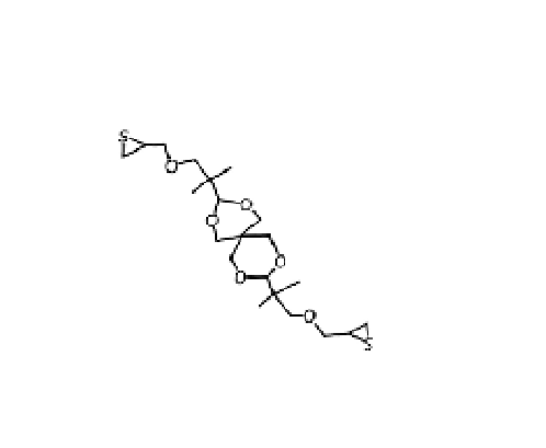 CC(C)(COCC1CS1)C1OCC2(CO1)COC(C(C)(C)COCC1CS1)OC2